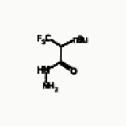 CCCCC(C(=O)NN)C(F)(F)F